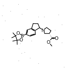 COC(=O)[C@H]1CCN(C2CCc3cc(B4OC(C)(C)C(C)(C)O4)ccc32)C1